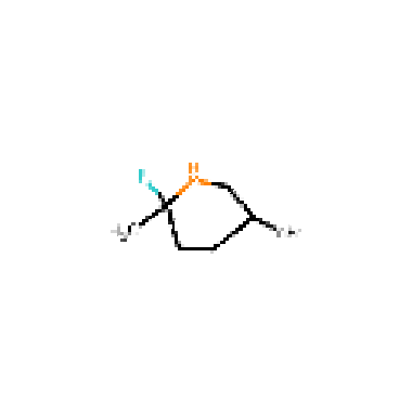 CCCC1CCC(C)(F)PC1